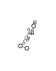 O=C(NCC1=NOC(COc2ccccc2-c2ccccc2)C1)Nc1cc[n+]([O-])cc1